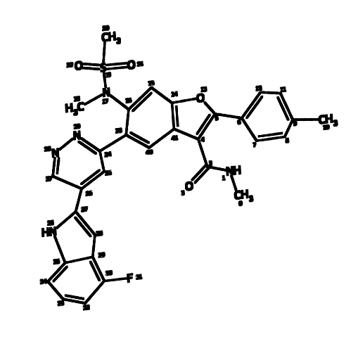 CNC(=O)c1c(-c2ccc(C)cc2)oc2cc(N(C)S(C)(=O)=O)c(-c3cc(-c4cc5c(F)cccc5[nH]4)cnn3)cc12